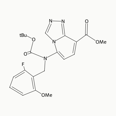 COC(=O)c1ccc(N(Cc2c(F)cccc2OC)C(=O)OC(C)(C)C)n2cnnc12